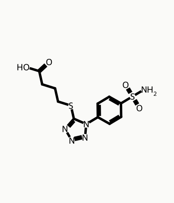 NS(=O)(=O)c1ccc(-n2nnnc2SCCCC(=O)O)cc1